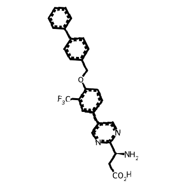 N[C@@H](CC(=O)O)c1ncc(-c2ccc(OCc3ccc(-c4ccccc4)cc3)c(C(F)(F)F)c2)cn1